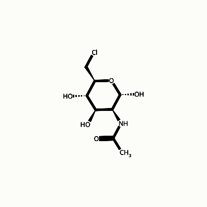 CC(=O)N[C@H]1[C@@H](O)[C@H](O)[C@@H](CCl)O[C@@H]1O